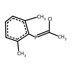 C/C(Cl)=P/c1c(C)cccc1C